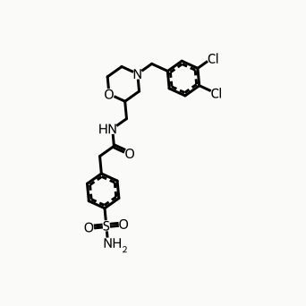 NS(=O)(=O)c1ccc(CC(=O)NCC2CN(Cc3ccc(Cl)c(Cl)c3)CCO2)cc1